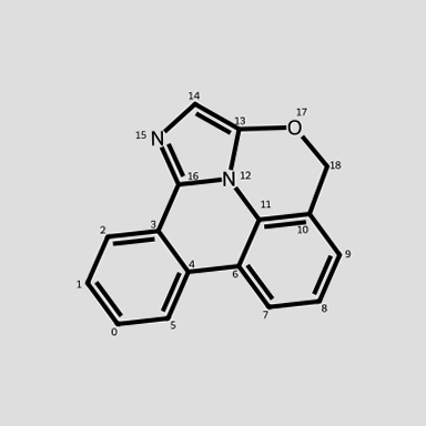 c1ccc2c(c1)c1cccc3c1n1c(cnc21)OC3